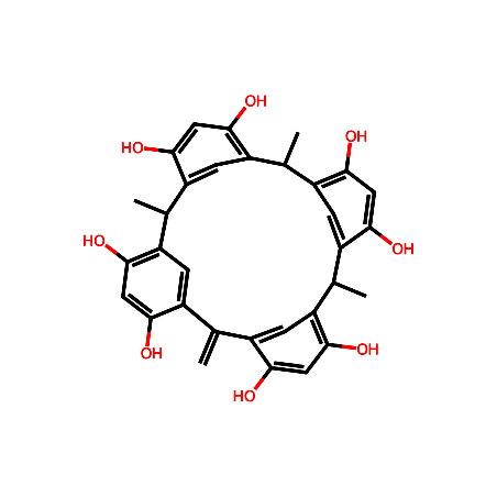 C=C1c2cc(c(O)cc2O)C(C)c2cc(c(O)cc2O)C(C)c2cc(c(O)cc2O)C(C)c2cc1c(O)cc2O